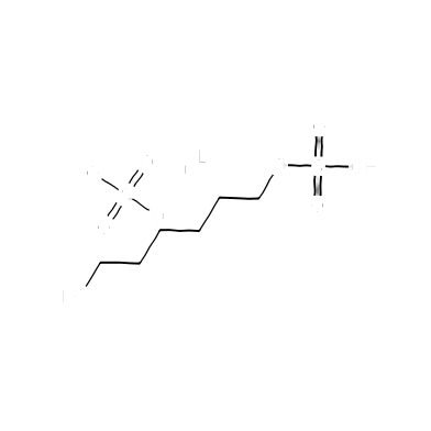 CCCCCCCOS(=O)(=O)O.O=S(=O)([O-])[O-].[Li+].[Li+]